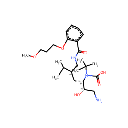 COCCCOc1ccccc1C(=O)NC[C@@H](C[C@@H]([C@@H](O)CN)N(C(=O)O)C(C)(C)C)C(C)C